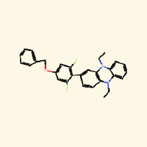 CCN1c2ccccc2N(CC)c2cc(-c3c(F)cc(OCc4ccccc4)cc3F)ccc21